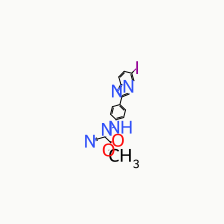 COC(=O)C(C#N)=NNc1ccc(-c2cn3cc(I)ccc3n2)cc1